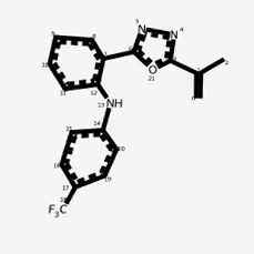 C=C(C)c1nnc(-c2ccccc2Nc2ccc(C(F)(F)F)cc2)o1